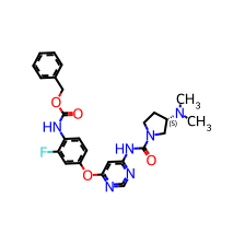 CN(C)[C@H]1CCN(C(=O)Nc2cc(Oc3ccc(NC(=O)OCc4ccccc4)c(F)c3)ncn2)C1